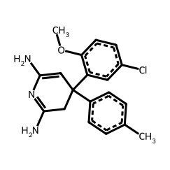 COc1ccc(Cl)cc1C1(c2ccc(C)cc2)C=C(N)N=C(N)C1